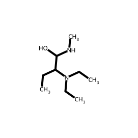 CCC(C(O)NC)N(CC)CC